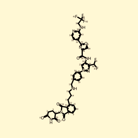 O=C1CCC(N2C(=O)c3cccc(CCCNCc4ccc(-n5cc(NC(=O)c6coc(-c7ccnc(NCC(F)(F)F)c7)n6)c(C(F)F)n5)cc4)c3C2=O)C(=O)N1